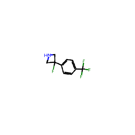 FC(F)(F)c1ccc(C2(F)CNC2)cc1